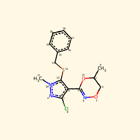 CC1CON=C(c2c(Cl)nn(C)c2SCc2ccccc2)O1